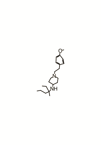 CCCC(C)(CC)NC1CCN(CCc2ccc(OC)cc2)CC1